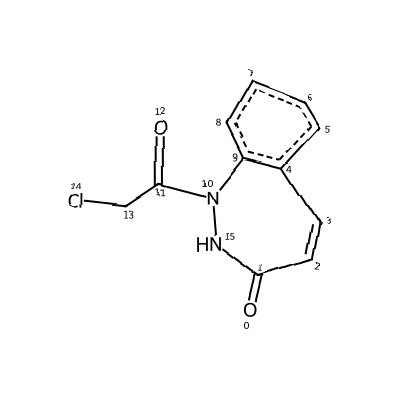 O=C1C=Cc2ccccc2N(C(=O)CCl)N1